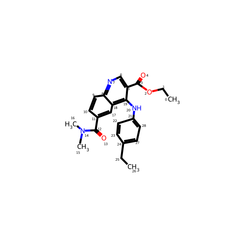 CCOC(=O)c1cnc2ccc(C(=O)N(C)C)cc2c1Nc1ccc(CC)cc1